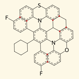 Fc1ccc(-c2c(C3CCCCC3)c(-c3ccc(F)cc3)c(N3c4ccccc4Sc4ccccc43)c(C3CCCCC3)c2N2c3ccccc3Oc3ccccc32)cc1